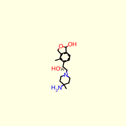 Cc1c([C@@H](O)CN2CCC(C)(N)CC2)ccc2c1COC2O